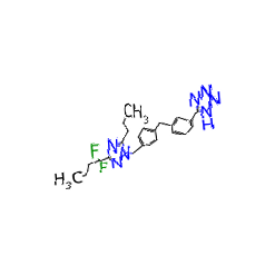 CCCc1nc(C(F)(F)CCC)nn1Cc1ccc(Cc2cccc(-c3nnn[nH]3)c2)cc1